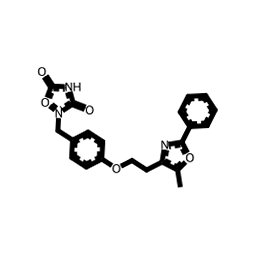 Cc1oc(-c2ccccc2)nc1CCOc1ccc(Cn2oc(=O)[nH]c2=O)cc1